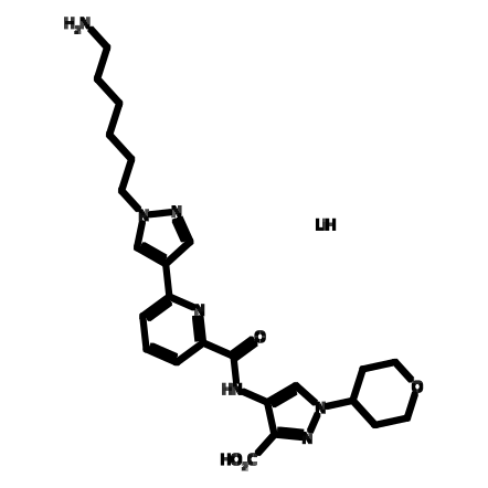 NCCCCCCn1cc(-c2cccc(C(=O)Nc3cn(C4CCOCC4)nc3C(=O)O)n2)cn1.[LiH]